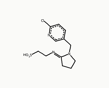 O=S(=O)(O)CCN=C1CCCN1Cc1ccc(Cl)nc1